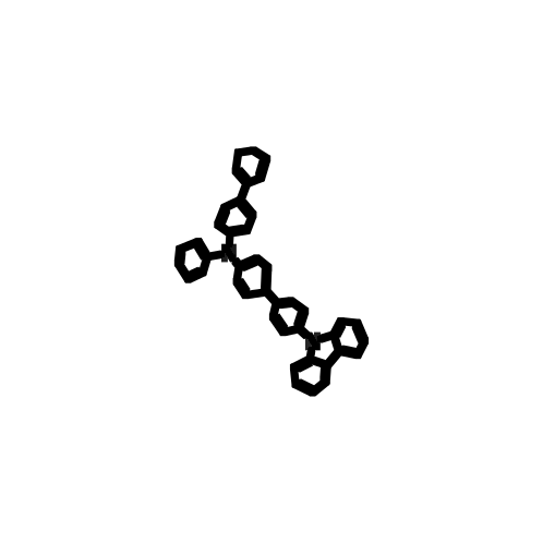 C1=CC(c2ccc(N(c3ccccc3)c3ccc(-c4ccc(-n5c6ccccc6c6ccccc65)cc4)cc3)cc2)=CCC1